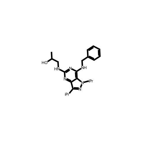 CC(O)CNc1nc(NCc2ccccc2)c2c(n1)c(C(C)C)nn2C(C)C